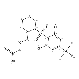 O=C(O)COCC1CCCCN1S(=O)(=O)c1c(Cl)cc(C(F)(F)F)cc1Cl